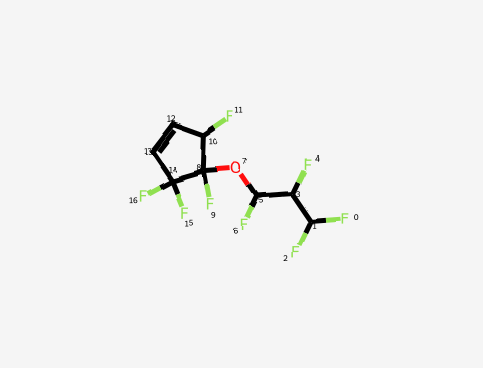 FC(F)C(F)C(F)OC1(F)C(F)C=CC1(F)F